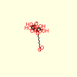 COC[C@H]1O[C@H](O[C@H]2[C@@H](OCCCCCCCCC(=O)OC)O[C@H](CO)[C@@H](O)[C@@H]2O)[C@H](O)[C@@H](O)[C@@H]1O